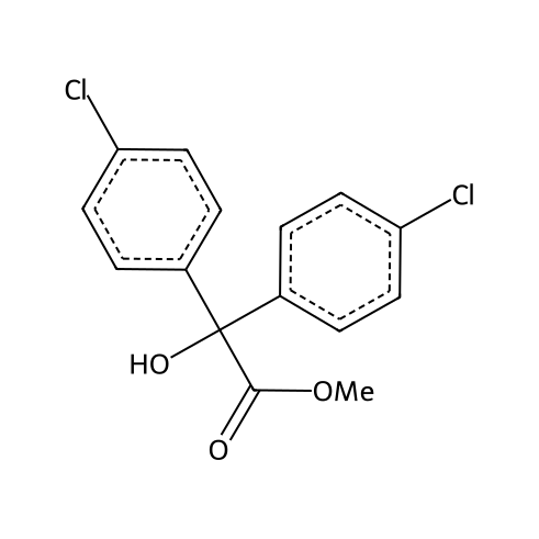 COC(=O)C(O)(c1ccc(Cl)cc1)c1ccc(Cl)cc1